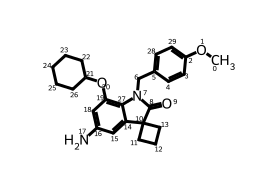 COc1ccc(CN2C(=O)C3(CCC3)c3cc(N)cc(OC4CCCCC4)c32)cc1